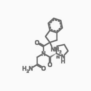 NC(=O)CN(C(=O)[C@@H]1CCCN1)C(=O)C1(N)Cc2ccccc2C1